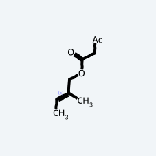 C/C=C(\C)COC(=O)CC(C)=O